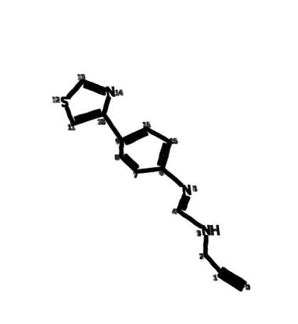 C#CCN/C=N/c1ccc(-c2cscn2)cc1